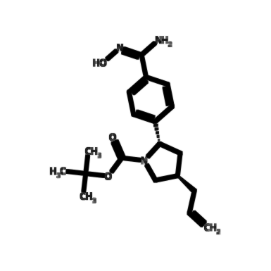 C=CC[C@@H]1C[C@@H](c2ccc(/C(N)=N\O)cc2)N(C(=O)OC(C)(C)C)C1